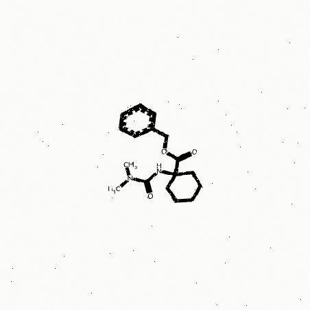 CN(C)C(=O)NC1(C(=O)OCc2ccccc2)CCCCC1